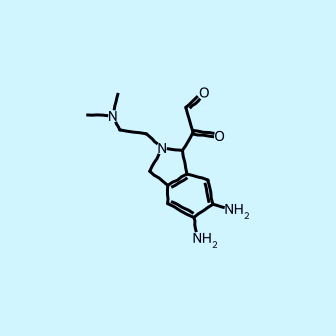 CN(C)CCN1Cc2cc(N)c(N)cc2C1C(=O)C=O